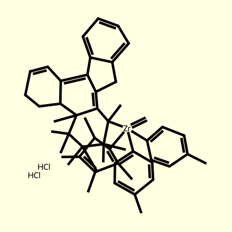 Cl.Cl.[CH2]=[Zr]([C]1=C(C)C(C)=C(C)C1C)([c]1ccc(C)cc1)([c]1ccc(C)cc1)[C]1(C)C2=C3Cc4ccccc4C3=C3C=CCCC3C2(C)C(C)(C)C(C)(C)C1(C)C